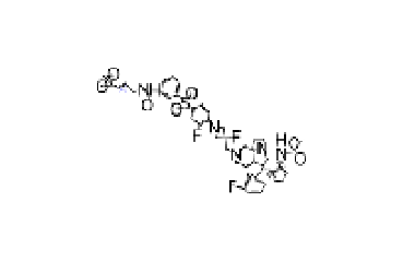 COC(=O)N[C@H]1CCC[C@@H]1C(CN1CCC1)(c1cccc(F)c1)C1CCN(CC2(F)CN(c3ccc(S(=O)(=O)c4cccc(C(=O)NC/C=C/S(C)(=O)=O)c4)cc3F)C2)CC1